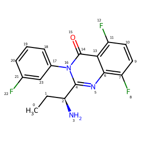 CC[C@H](N)c1nc2c(F)ccc(F)c2c(=O)n1-c1cccc(F)c1